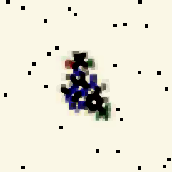 Cc1ncc2nc(N[C@H](C)c3cc(N)cc(C(F)(F)F)c3)c3c(n12)CN(C(=O)C1(CF)CC1)C3